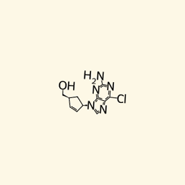 Nc1nc(Cl)c2ncn([C@H]3C=C[C@@H](CO)C3)c2n1